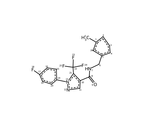 Cc1cccc(CNC(=O)c2cnn(-c3ccc(F)cc3)c2C(F)(F)F)c1